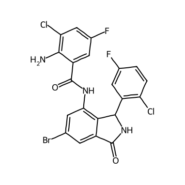 Nc1c(Cl)cc(F)cc1C(=O)Nc1cc(Br)cc2c1C(c1cc(F)ccc1Cl)NC2=O